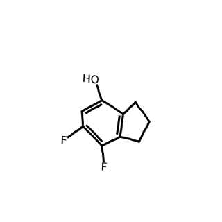 Oc1cc(F)c(F)c2c1CCC2